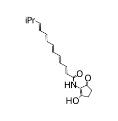 CC(C)/C=C/C=C/C=C/C=C/C=C/C(=O)NC1=C(O)CCC1=O